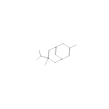 CC1CC2CC(C1)CC(C)(C(O)O)C2